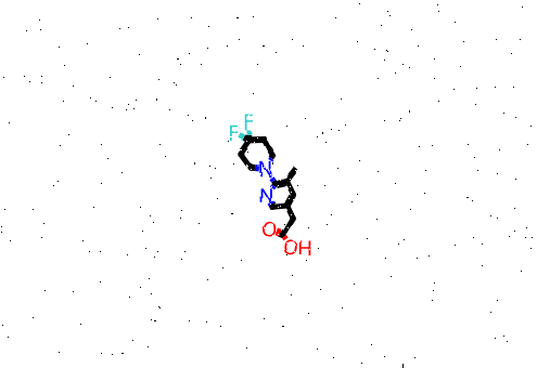 Cc1cc(CC(=O)O)cnc1N1CCC(F)(F)CC1